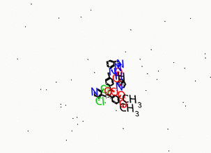 COc1ccc([C@H](Cc2c(Cl)cncc2Cl)OC(=O)c2ccc(CN(C(=O)O[C@H]3CN4CCC3CC4)c3cccc4cn[nH]c34)cc2)cc1OC